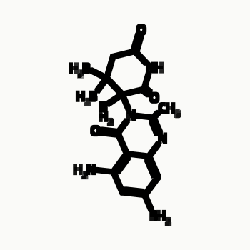 Bc1cc(N)c2c(=O)n(C3(B)C(=O)NC(=O)CC3(B)B)c(C)nc2c1